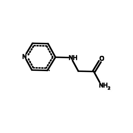 NC(=O)CNc1[c]cncc1